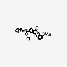 COc1ccccc1CN1C(=O)c2ccc(C(=O)NCCN3CCCC3)cc2C1=O.Cl